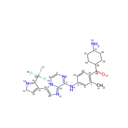 Cc1cc(Nc2nccn3c(C4=CCN=C4C(F)(F)F)cnc23)ccc1C(=O)C1CCC(N)CC1